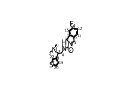 CN(C)C(CNC(=O)N1Cc2ccc(F)cc2C1)c1ccsc1